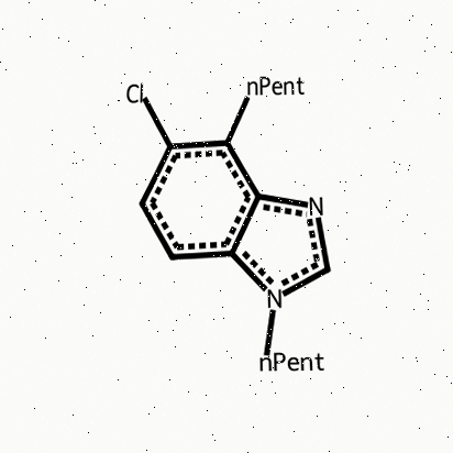 CCCCCc1c(Cl)ccc2c1ncn2CCCCC